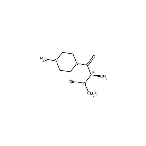 C[C@H](C(=O)N1CCN(C)CC1)N(C(=O)O)C(C)(C)C